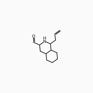 C=CCC1NC([C]=O)CC2CCCCC21